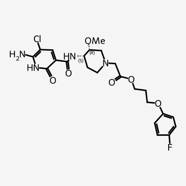 CO[C@@H]1CN(CC(=O)OCCCOc2ccc(F)cc2)CC[C@@H]1NC(=O)c1cc(Cl)c(N)[nH]c1=O